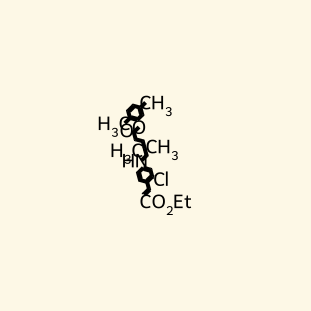 CCOC(=O)C=Cc1ccc(NCC(C)(C)CCC(=O)Oc2cc(C)ccc2C)cc1Cl